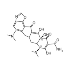 CN(C)c1cc2ncoc2c2c1CC1CC3[C@H](N(C)C)C(O)=C(C(N)=O)C(=O)[C@@]3(O)C(O)=C1C2=O